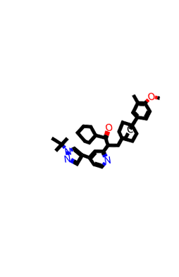 COc1ccc(C23CCC(CC(C(=O)C4CCCCC4)c4cc(-c5cnn(C(C)(C)C)c5)ccn4)(CC2)CC3)cc1C